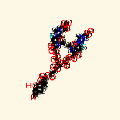 COc1c(N2CCN(Cc3oc(=O)oc3C)C(C)C2)c(F)cc2c(=O)c(C(=O)OCOC(=O)OCC(COC(=O)OCOC(=O)c3cn(C4CC4)c4c(OC)c(N5CCN(Cc6oc(=O)oc6C)C(C)C5)c(F)cc4c3=O)OC(=O)CCC(=O)OCC(=O)[C@@]34CC[C@H]5[C@@H]6CCC7=CC(=O)CC[C@]7(C)C6[C@@H](O)C[C@@]53O4)cn(C3CC3)c12